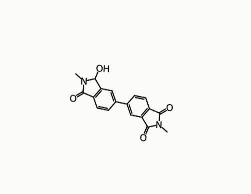 CN1C(=O)c2ccc(-c3ccc4c(c3)C(O)N(C)C4=O)cc2C1=O